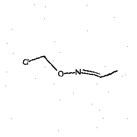 CC=NOCCl